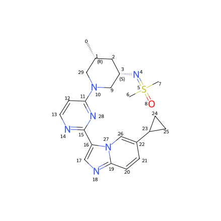 C[C@@H]1C[C@H](N=S(C)(C)=O)CN(c2ccnc(-c3cnc4ccc(C5CC5)cn34)n2)C1